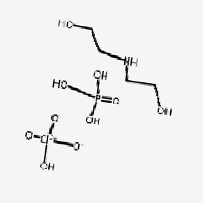 O=P(O)(O)O.OCCNCCO.[O-][Cl+3]([O-])([O-])O